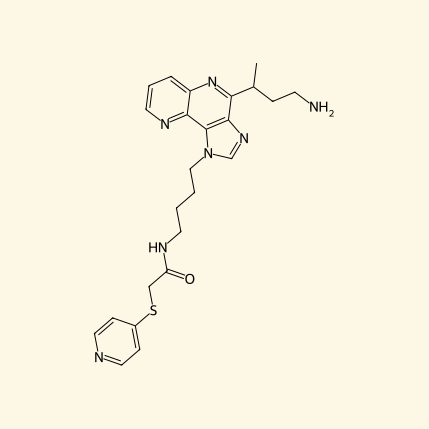 CC(CCN)c1nc2cccnc2c2c1ncn2CCCCNC(=O)CSc1ccncc1